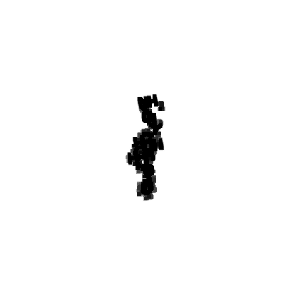 CC(C=NOCCN)=C[C@H]1CC[C@]2(O)[C@@H]3CC[C@@H]4CCC(OCCN5CCCC5)C[C@]4(C)[C@H]3CC[C@]12C